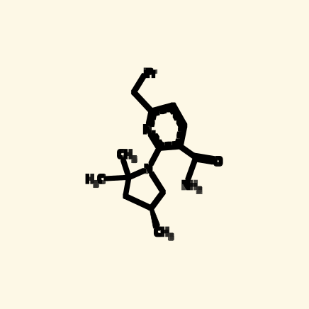 CC(C)Cc1ccc(C(N)=O)c(N2C[C@@H](C)CC2(C)C)n1